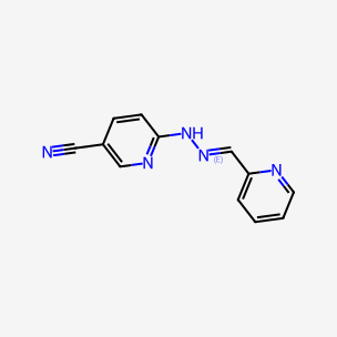 N#Cc1ccc(N/N=C/c2ccccn2)nc1